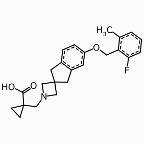 Cc1cccc(F)c1COc1ccc2c(c1)CC1(C2)CN(CC2(C(=O)O)CC2)C1